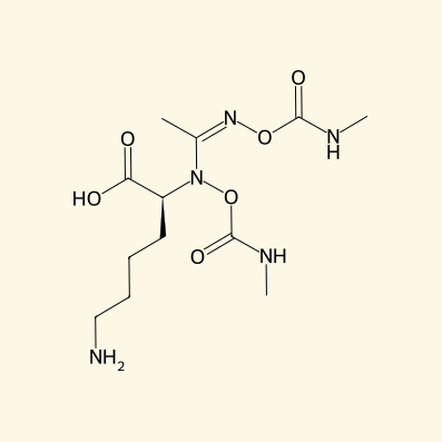 CNC(=O)O/N=C(/C)N(OC(=O)NC)[C@@H](CCCCN)C(=O)O